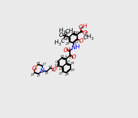 COc1c(NC(=O)C(=O)c2ccc(OCCN3CCOCC3)c3ccccc23)cc(C(C)(C)C)cc1C(=O)O